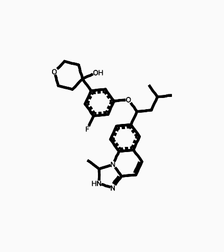 CC(C)CC(Oc1cc(F)cc(C2(O)CCOCC2)c1)c1ccc2c(c1)C=CC1=NNC(C)N12